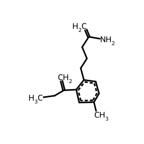 C=C(N)CCCc1ccc(C)cc1C(=C)CC